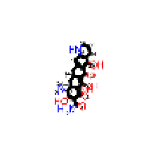 CN(C)[C@@H]1C(O)=C(C(N)=O)C(=O)[C@@]2(O)C(O)=C3C(=O)c4c(cc5c(c4O)CCCN5)C[C@H]3C[C@@H]12